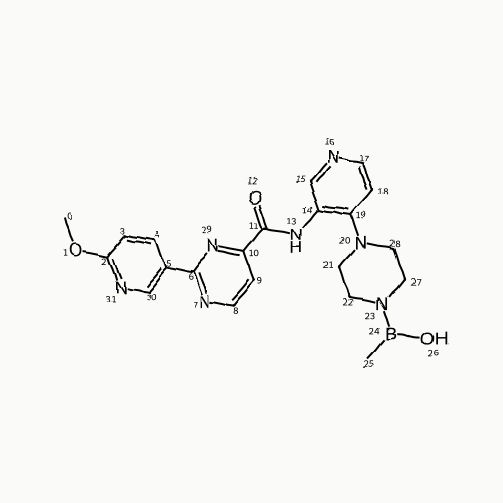 COc1ccc(-c2nccc(C(=O)Nc3cnccc3N3CCN(B(C)O)CC3)n2)cn1